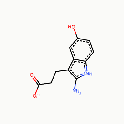 Nc1[nH]c2ccc(O)cc2c1CCC(=O)O